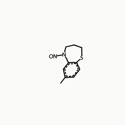 Cc1ccc2c(c1)N(N=O)CCCS2